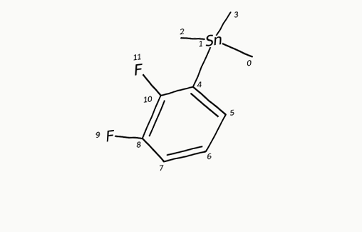 [CH3][Sn]([CH3])([CH3])[c]1cccc(F)c1F